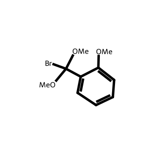 COc1ccccc1C(Br)(OC)OC